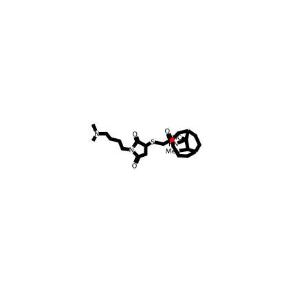 CNC1C2CCCCCC(CC2)C1(C=O)NC(=O)CSC1CC(=O)N(CCCCN(C)C)C1=O